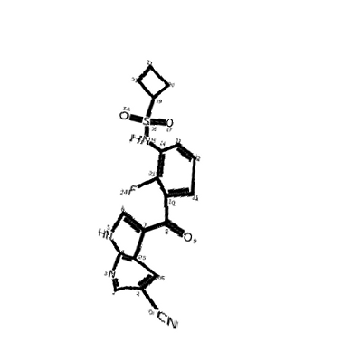 N#Cc1cnc2[nH]cc(C(=O)c3cccc(NS(=O)(=O)C4CCC4)c3F)c2c1